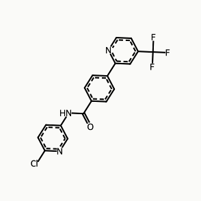 O=C(Nc1ccc(Cl)nc1)c1ccc(-c2cc(C(F)(F)F)ccn2)cc1